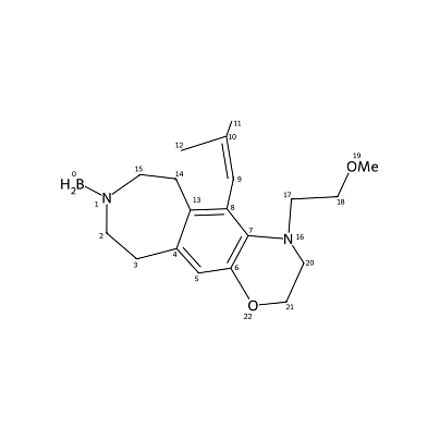 BN1CCc2cc3c(c(C=C(C)C)c2CC1)N(CCOC)CCO3